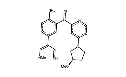 CN/C=C(\C=N)c1ccc(N)c(C(=N)c2cc(N3CC[C@@H](OC)C3)ncn2)c1